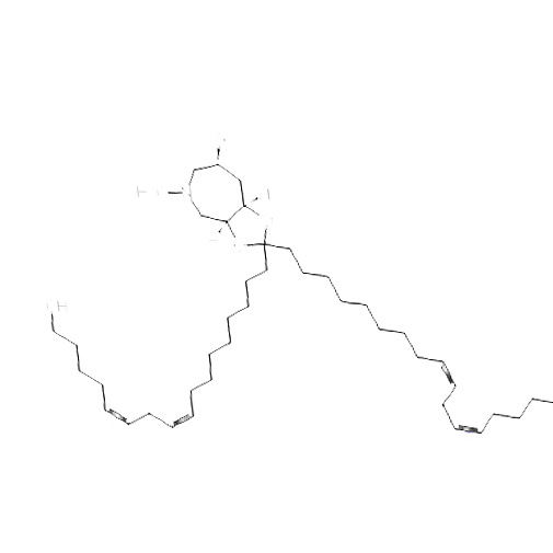 CCCCC/C=C\C/C=C\CCCCCCCCC1(CCCCCCCC/C=C\C/C=C\CCCCC)O[C@H]2C[C@H](O)CN(C)C[C@H]2O1